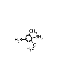 Bc1cc(C)c(B)c(OC)c1